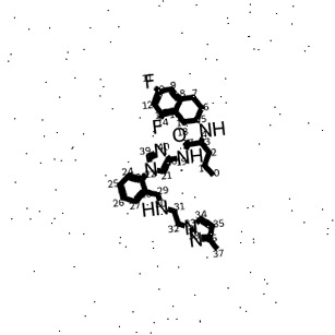 CCCC(N[C@H]1CCc2cc(F)cc(F)c2C1)C(=O)Nc1cn(-c2ccccc2CNCCn2ccc(C)n2)cn1